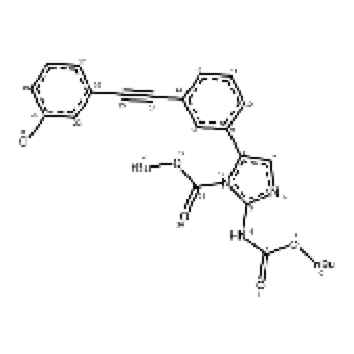 CCCCOC(=O)Nc1ncc(-c2cccc(C#Cc3cccc(Cl)c3)c2)n1C(=O)OC(C)(C)C